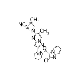 Cc1cn2nc([C@@H]3CCCCN3C(=O)c3c(Cl)nc4ccccn34)cc2nc1N1C[C@@H](C#N)[C@@H](C)C1